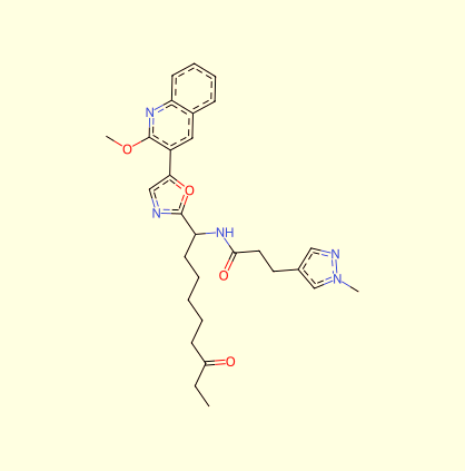 CCC(=O)CCCCCC(NC(=O)CCc1cnn(C)c1)c1ncc(-c2cc3ccccc3nc2OC)o1